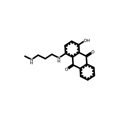 CNCCCNc1ccc(O)c2c1C(=O)c1ccccc1C2=O